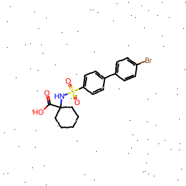 O=C(O)C1(NS(=O)(=O)c2ccc(-c3ccc(Br)cc3)cc2)CCCCC1